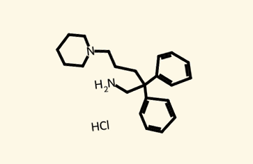 Cl.NCC(CCCN1CCCCC1)(c1ccccc1)c1ccccc1